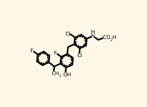 CC(c1ccc(F)cc1)c1c(O)ccc(Cc2c(Cl)cc(NCC(=O)O)cc2Cl)c1F